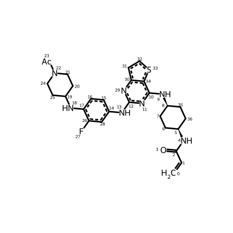 C=CC(=O)N[C@H]1CC[C@@H](Nc2nc(Nc3ccc(NC4CCN(C(C)=O)CC4)c(F)c3)nc3ccsc23)CC1